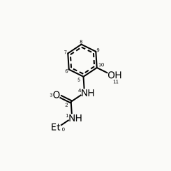 CCNC(=O)Nc1ccccc1O